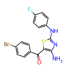 Nc1nc(Nc2ccc(F)cc2)sc1C(=O)c1ccc(Br)cc1